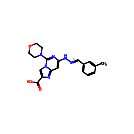 Cc1cccc(/C=N/Nc2cc3nc(C(=O)O)cn3c(N3CCOCC3)n2)c1